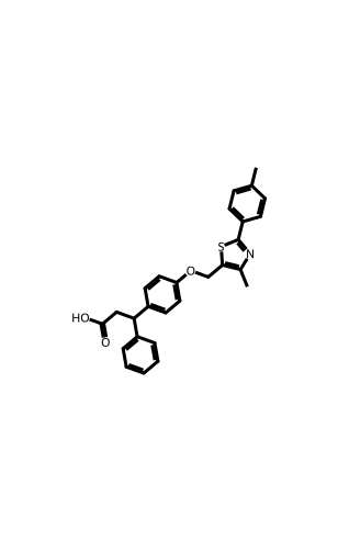 Cc1ccc(-c2nc(C)c(COc3ccc(C(CC(=O)O)c4ccccc4)cc3)s2)cc1